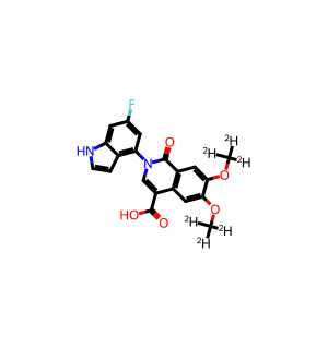 [2H]C([2H])([2H])Oc1cc2c(C(=O)O)cn(-c3cc(F)cc4[nH]ccc34)c(=O)c2cc1OC([2H])([2H])[2H]